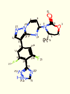 CC(C)[C@H]1COC(=O)N1c1ccn2ncc(-c3cc(F)c(-c4nc[nH]n4)c(F)c3)c2n1